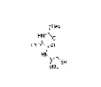 CCCCCCC(=O)N[C@H](C(=O)N[C@@H](CS)SC)C(C)C